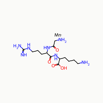 N=C(N)NCCCC(NC(=O)CN)C(=O)NC(CCCCN)C(=O)O.[Mn]